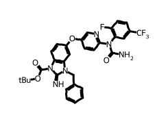 CC(C)(C)OC(=O)n1c(=N)n(Cc2ccccc2)c2cc(Oc3ccc(N(C(N)=O)c4cc(C(F)(F)F)ccc4F)nc3)ccc21